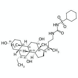 CC[C@H]1[C@@H](O)[C@@H]2[C@H](C[C@H](O)[C@]3(C)[C@@H]([C@H](C)CCNC(=O)NS(=O)(=O)C4CCCCC4)CC[C@@H]23)[C@@]2(C)CC[C@@H](O)C[C@@H]12